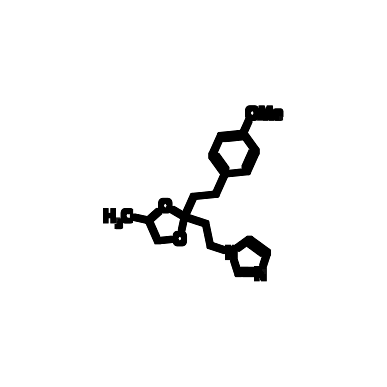 COc1ccc(CCC2(CCn3ccnc3)OCC(C)O2)cc1